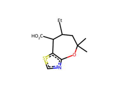 CCC1CC(C)(C)Oc2ncsc2C1C(=O)O